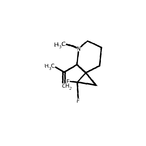 C=C(C)C1N(C)CCCC12CC2(F)F